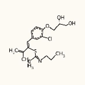 C=C(C)/C(=C/c1ccc(OC[C@H](O)CO)c(Cl)c1)S/C(C)=N\CCC